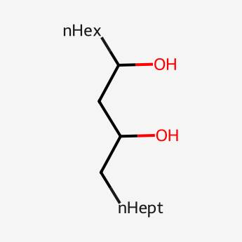 CCCCCCCCC(O)CC(O)CCCCCC